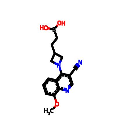 COc1cccc2c(N3CC(CCB(O)O)C3)c(C#N)cnc12